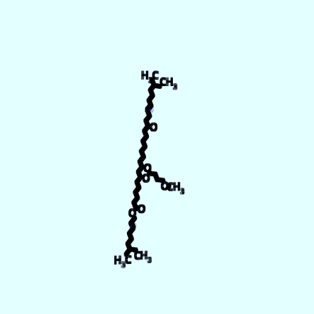 CCC(CC)CCC/C=C/CCC(=O)CCCCCCCC(CCCCCCCC(=O)OC/C=C/CCCC(CC)CC)OC(=O)CCCOC